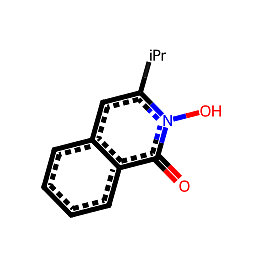 CC(C)c1cc2ccccc2c(=O)n1O